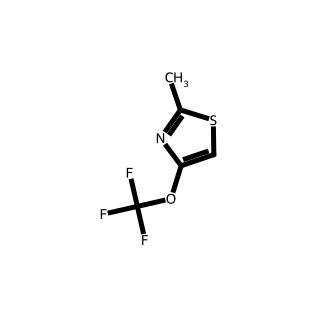 Cc1nc(OC(F)(F)F)cs1